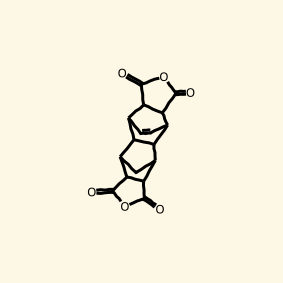 O=C1OC(=O)C2C3C=CC(C12)C1C2CC(C4C(=O)OC(=O)C24)C31